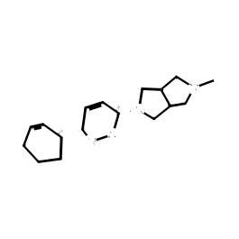 CN1CC2CN([C@H]3C=CC([C@H]4C=CCCC4)NN3)CC2C1